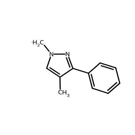 [CH2]n1cc(C)c(-c2ccccc2)n1